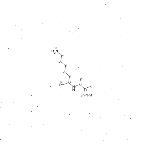 CCCCCC(C)C(C)NC(CCCCCN)C(C)C